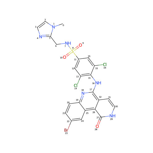 Cn1ccnc1CNS(=O)(=O)c1cc(Cl)c(Nc2nc3ccc(Br)cc3c3c(=O)[nH]ccc23)c(Cl)c1